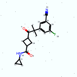 CC(C)(C(=O)C1CC(C(=O)NC2CC2)C1)c1cc(F)cc(C#N)c1